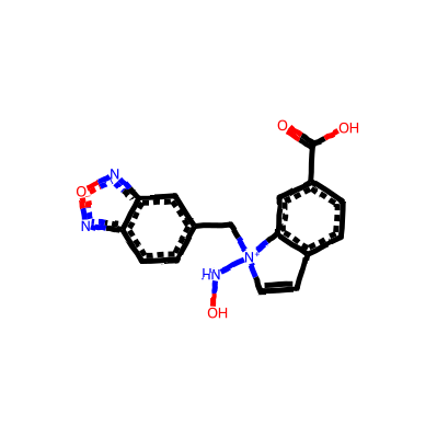 O=C(O)c1ccc2c(c1)[N+](Cc1ccc3nonc3c1)(NO)C=C2